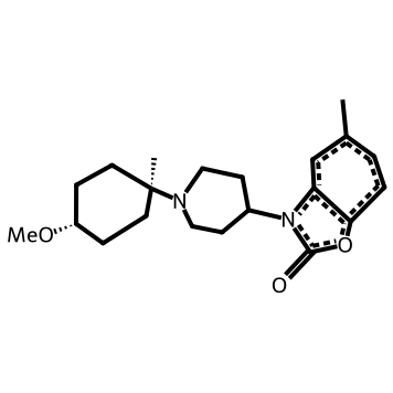 CO[C@H]1CC[C@](C)(N2CCC(n3c(=O)oc4ccc(C)cc43)CC2)CC1